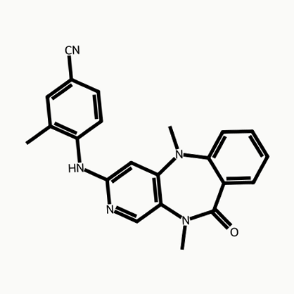 Cc1cc(C#N)ccc1Nc1cc2c(cn1)N(C)C(=O)c1ccccc1N2C